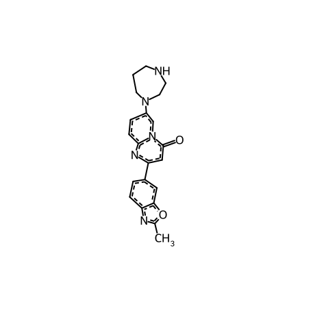 Cc1nc2ccc(-c3cc(=O)n4cc(N5CCCNCC5)ccc4n3)cc2o1